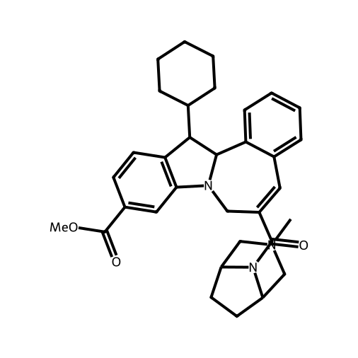 COC(=O)c1ccc2c(c1)N1CC(C(=O)N3C4CCC3CN(C)C4)=Cc3ccccc3C1C2C1CCCCC1